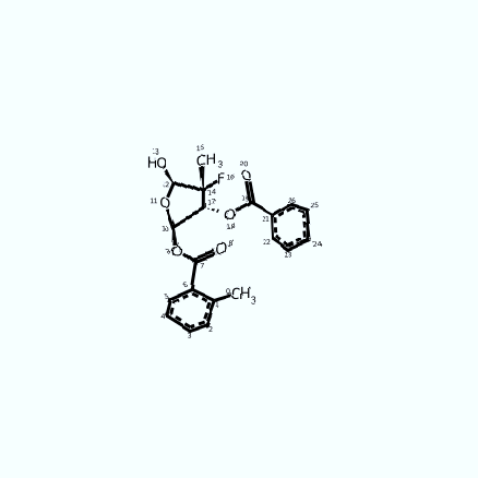 Cc1ccccc1C(=O)O[C@H]1O[C@@H](O)[C@](C)(F)[C@@H]1OC(=O)c1ccccc1